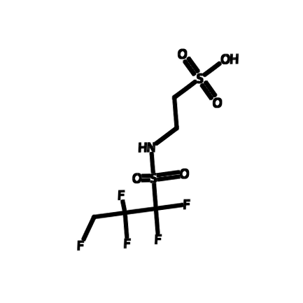 O=S(=O)(O)CCNS(=O)(=O)C(F)(F)C(F)(F)CF